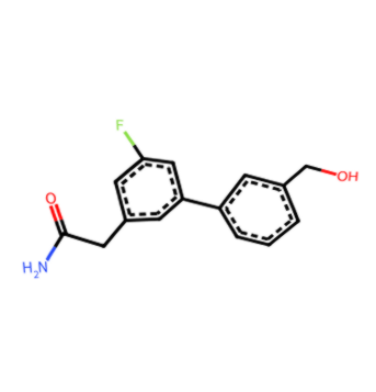 NC(=O)Cc1cc(F)cc(-c2cccc(CO)c2)c1